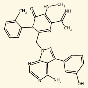 CNc1c(C(C)=N)nc(Cn2nc(-c3cccc(O)c3)c3c(N)ncnc32)n(-c2ccccc2C)c1=O